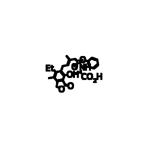 CCc1c(C)c2c(c(O)c1C/C=C(\C)CP(=O)(NC(C)C(=O)O)Oc1ccccc1)C(=O)OC2